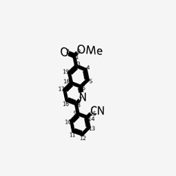 COC(=O)c1ccc2nc(-c3ccccc3C#N)ccc2c1